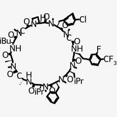 CC[C@H](C)[C@@H]1NC(=O)[C@H](C)N(C)C(=O)C[C@@H](C)NC(=O)[C@H](C(C)C)N(C)C(=O)[C@H](Cc2ccccc2)N(C)C(=O)[C@H](CC(C)C)N(C)C(=O)[C@H](CCc2ccc(C(F)(F)F)c(F)c2)NC(=O)CN(C)C(=O)[C@H](Cc2ccc(Cl)cc2)N(C)C(=O)[C@@H]2CCN2C(=O)CN(C)C1=O